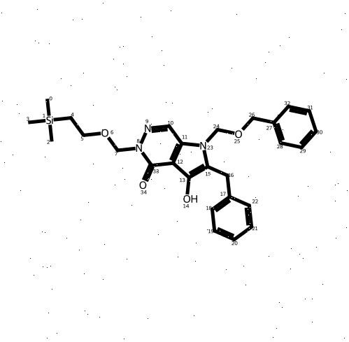 C[Si](C)(C)CCOCn1ncc2c(c(O)c(Cc3ccccc3)n2COCc2ccccc2)c1=O